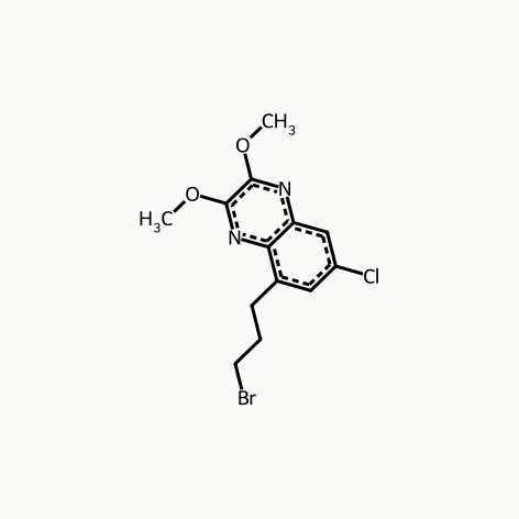 COc1nc2cc(Cl)cc(CCCBr)c2nc1OC